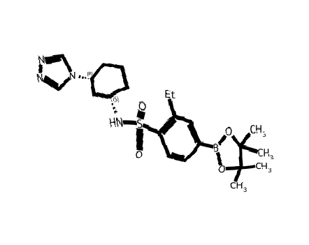 CCc1cc(B2OC(C)(C)C(C)(C)O2)ccc1S(=O)(=O)N[C@H]1CCC[C@@H](n2cnnc2)C1